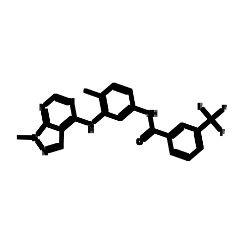 Cc1ccc(NC(=O)c2cccc(C(F)(F)F)c2)cc1Nc1ncnc2c1cnn2C